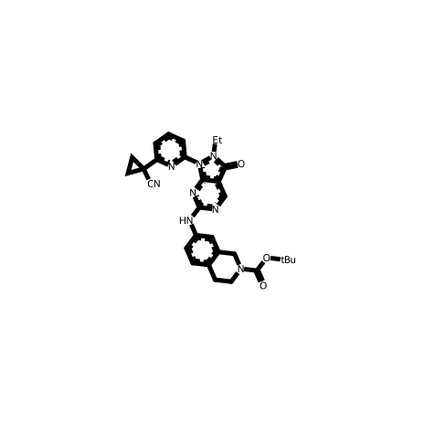 CCn1c(=O)c2cnc(Nc3ccc4c(c3)CN(C(=O)OC(C)(C)C)CC4)nc2n1-c1cccc(C2(C#N)CC2)n1